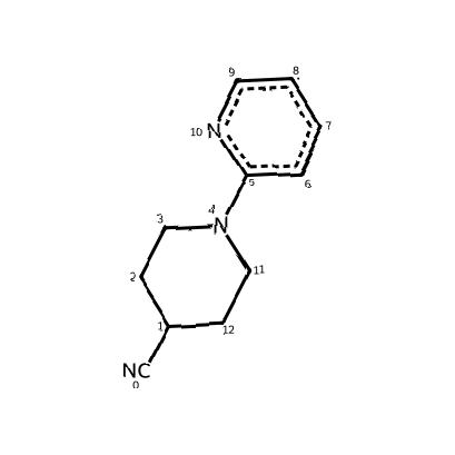 N#CC1CCN(c2cc[c]cn2)CC1